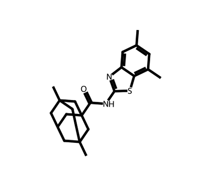 Cc1cc(C)c2sc(NC(=O)C34CC5CC(C)(CC(C)(C5)C3)C4)nc2c1